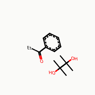 CC(C)(O)C(C)(C)O.CCC(=O)c1ccccc1